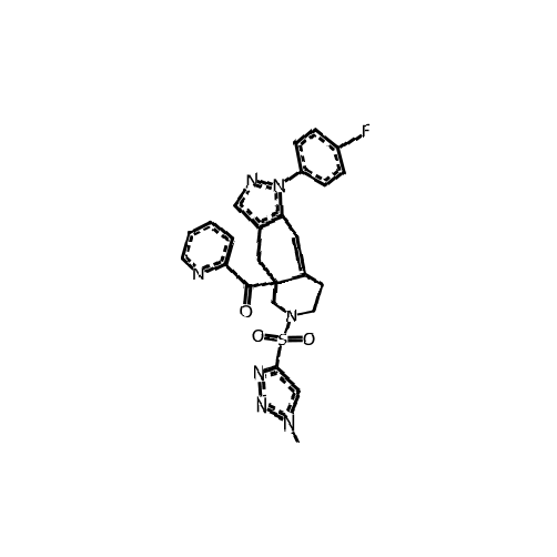 Cn1cc(S(=O)(=O)N2CCC3=Cc4c(cnn4-c4ccc(F)cc4)CC3(C(=O)c3ccccn3)C2)nn1